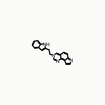 c1ccc2[nH]c(CCn3cnc4c(ccc5nccc54)c3)cc2c1